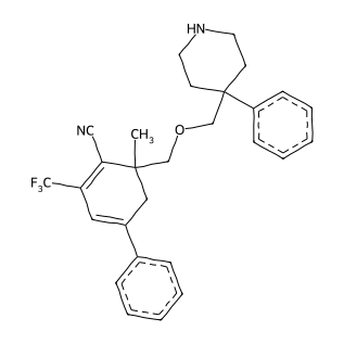 CC1(COCC2(c3ccccc3)CCNCC2)CC(c2ccccc2)=CC(C(F)(F)F)=C1C#N